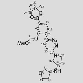 COCOc1cc(B2OC(C)(C)C(C)(C)O2)ccc1-c1ccc(N2CC[C@H](NC3CCOC3)C2)nn1